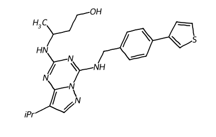 CC(CCO)Nc1nc(NCc2ccc(-c3ccsc3)cc2)n2ncc(C(C)C)c2n1